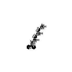 CC(=O)N(O)CNC(=O)CC(=O)N(O)CNC(=O)CC(=O)N(O)CNC(=S)NN=C(c1ccccn1)c1ccccn1